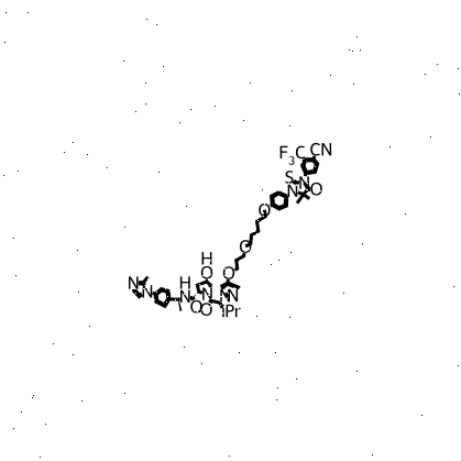 Cc1nccn1-c1ccc([C@H](C)NC(=O)[C@@H]2C[C@@H](O)CN2C(=O)C(C(C)C)n2cc(OCCCOCCCCCOc3ccc(N4C(=S)N(c5ccc(C#N)c(C(F)(F)F)c5)C(=O)C4(C)C)cc3)cn2)cc1